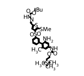 CSc1sc(C=NNC(=O)OC(C)(C)C)cc1S(=O)(=O)c1cccc(-c2c(C)cc(NC(=O)OCC[Si](C)(C)C)cc2N)c1